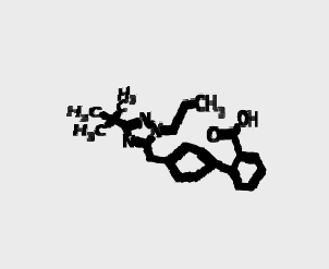 CCCn1nc(C(C)(C)C)nc1Cc1ccc(-c2ccccc2C(=O)O)cc1